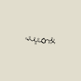 O=CNCC(=O)N[S+]([O-])Cc1ccc(CNC(=O)C(F)(F)F)cc1